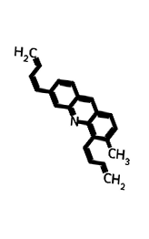 C=C/C=C\c1ccc2cc3ccc(C)c(/C=C\C=C)c3nc2c1